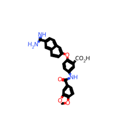 N=C(N)c1ccc2cc(Oc3ccc(NC(=O)c4ccc5c(c4)OCO5)cc3C(=O)O)ccc2c1